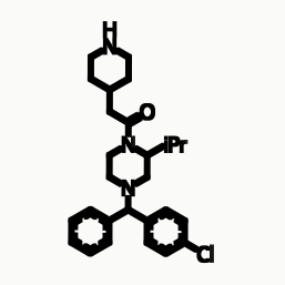 CC(C)C1CN(C(c2ccccc2)c2ccc(Cl)cc2)CCN1C(=O)CC1CCNCC1